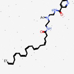 CC/C=C\C/C=C\C/C=C\C/C=C\C/C=C\C/C=C\CCC(=O)NCCN(CCNC(=O)c1cccnc1)C(C)=O